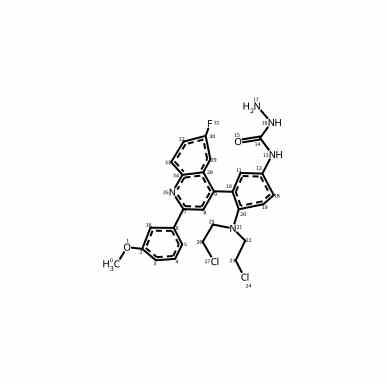 COc1cccc(-c2cc(-c3cc(NC(=O)NN)ccc3N(CCCl)CCCl)c3cc(F)ccc3n2)c1